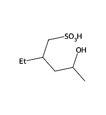 CCC(CC(C)O)CS(=O)(=O)O